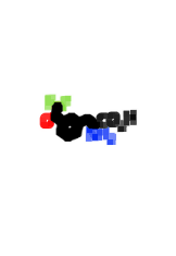 NC(Cc1cccc(C(=O)C(F)F)c1)C(=O)O